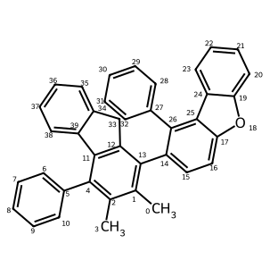 Cc1c(C)c(-c2ccccc2)c2c(c1-c1ccc3oc4ccccc4c3c1-c1ccccc1)Cc1ccccc1-2